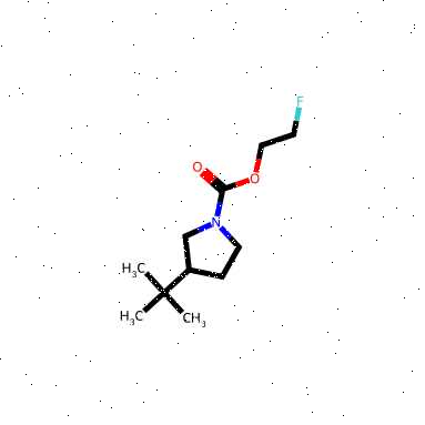 CC(C)(C)C1CCN(C(=O)OCCF)C1